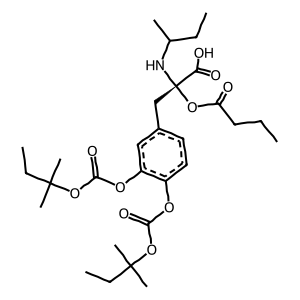 CCCC(=O)O[C@](Cc1ccc(OC(=O)OC(C)(C)CC)c(OC(=O)OC(C)(C)CC)c1)(NC(C)CC)C(=O)O